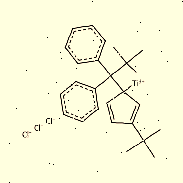 CC(C)(C)C1=C[C]([Ti+3])(C(c2ccccc2)(c2ccccc2)C(C)(C)C)C=C1.[Cl-].[Cl-].[Cl-]